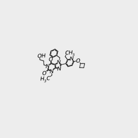 CCc1nc(OC2CCC2)ccc1-c1nc2c(c(=O)n(CCCO)c(=O)n2CC)n1Cc1ccccc1